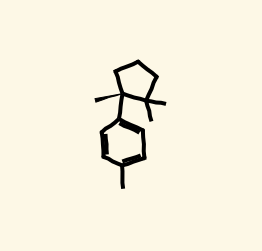 Cc1ccc([C@]2(C)CCCC2(C)C)cc1